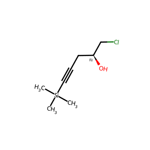 C[Si](C)(C)C#CC[C@H](O)CCl